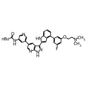 CCCCC(=O)Nc1cncc(-c2cnc3[nH]nc(-c4cc5c(-c6cc(F)cc(OCCN(C)C)c6)cccc5[nH]4)c3c2)c1